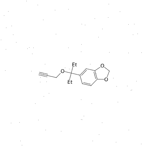 C#CCOC(CC)(CC)c1ccc2c(c1)OCO2